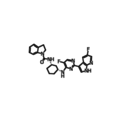 O=C(N[C@H]1CCC[C@@H](Nc2nc(-c3c[nH]c4ncc(F)cc34)ncc2F)C1)N1CCc2ccccc21